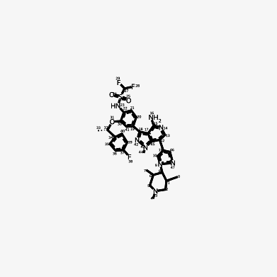 CC1CN(C)CC(C)C1n1cc(-c2cnc(N)c3c(-c4ccc(NS(=O)(=O)C(F)F)c(O[C@@H](C)c5ccc(F)cc5)c4)nn(C)c23)cn1